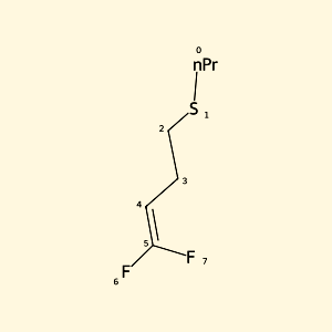 [CH2]CCSCCC=C(F)F